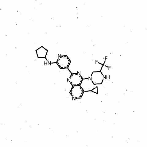 FC(F)(F)C1CN(c2nc(-c3ccnc(NC4CCCC4)c3)nc3cncc(C4CC4)c23)CCN1